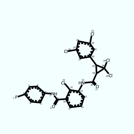 O=C(Nc1ccc(F)cc1)c1cccc(NC(=O)C2C(c3cc(Cl)cc(Cl)c3)C2(Cl)Cl)c1Cl